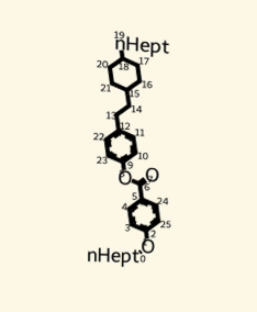 CCCCCCCOc1ccc(C(=O)Oc2ccc(CCC3CCC(CCCCCCC)CC3)cc2)cc1